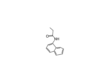 CCC(=O)Nc1cccc2ccccc12